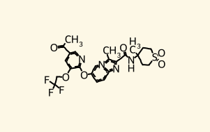 CC(=O)c1cnc(Oc2ccc3nc(C(=O)NC4(C)CCS(=O)(=O)CC4)c(C)n3c2)c(OCC(F)(F)F)c1